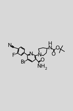 CC(C)(C)OC(=O)NC1CCN(c2nc(-c3ccc(C#N)c(F)c3)c(Br)cc2C(N)=O)CC1